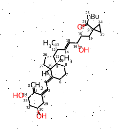 C=C1/C(=C\C=C2/CCC[C@]3(C)[C@@H]([C@H](C)/C=C/[C@@H](O)CCC4(C(=O)CCCC)CC4)CC[C@@H]23)C[C@@H](O)C[C@@H]1O